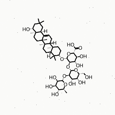 C[C@@H]1O[C@@H](O[C@H]2[C@H](O[C@H]3[C@H](O[C@H]4CC[C@]5(C)[C@H]6CC=C7[C@@H]8CC(C)(C)C[C@@H](O)[C@]8(C)CC[C@@]7(C)[C@]6(C)CC[C@H]5C4(C)C)O[C@H](C(=O)O)[C@@H](O)[C@@H]3O)O[C@H](CO)[C@H](O)[C@@H]2O)[C@H](O)[C@H](O)[C@H]1O